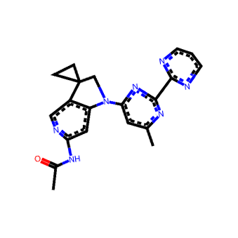 CC(=O)Nc1cc2c(cn1)C1(CC1)CN2c1cc(C)nc(-c2ncccn2)n1